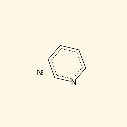 [N].c1ccncc1